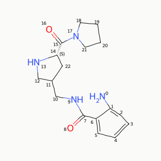 Nc1ccccc1C(=O)NCC1CN[C@H](C(=O)N2CCCC2)C1